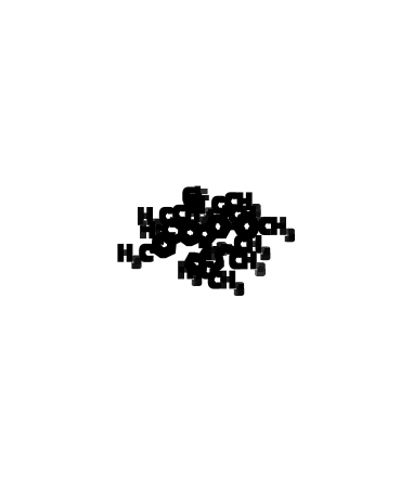 Cc1ccc(-c2cc3c(cc2C(C)(C)C)-c2cc(C(C)(C)C)c(-c4ccc(C)cc4)cc2[CH]3[Zr+2]([C]2=CC=CC2)=[C](CC(C)C)CC(C)C)cc1.[Cl-].[Cl-]